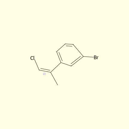 C/C(=C/Cl)c1cccc(Br)c1